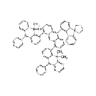 CC1(C)c2ccccc2N(c2ccccc2)c2cccc(-c3cccc4c(-c5cccc6c5-c5ccccc5C65CCCC5)c5cccc(-c6cccc7c6C(C)(C)c6ccccc6N7c6ccccc6)c5cc34)c21